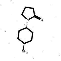 N[C@H]1CC[C@H](N2CCCC2=O)CC1